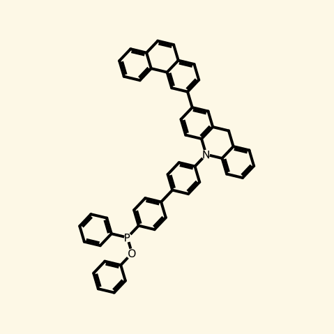 c1ccc(OP(c2ccccc2)c2ccc(-c3ccc(N4c5ccccc5Cc5cc(-c6ccc7ccc8ccccc8c7c6)ccc54)cc3)cc2)cc1